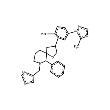 COc1ccc(-n2nnnc2C(F)(F)F)cc1C1COC2(CCCN(Cc3cnc[nH]3)C2c2ccccc2)C1